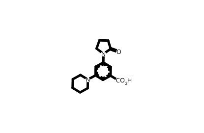 O=C(O)c1cc(N2CCCCC2)cc(N2CCCC2=O)c1